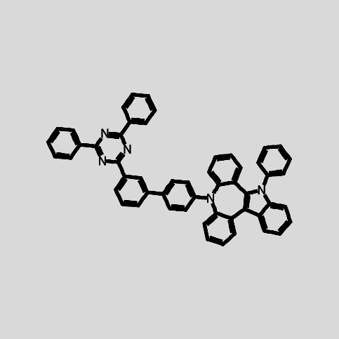 c1ccc(-c2nc(-c3ccccc3)nc(-c3cccc(-c4ccc(N5c6ccccc6-c6c(n(-c7ccccc7)c7ccccc67)-c6ccccc65)cc4)c3)n2)cc1